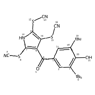 CC(C)(C)c1cc(C(=O)c2c(SC#N)[nH]c(SC#N)c2SC#N)cc(C(C)(C)C)c1O